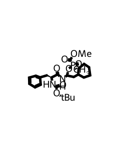 COC(=O)P(C)(=O)OC(CC1CCCCC1)NC(=O)[C@H](Cc1ccccc1)NC(=O)OC(C)(C)C